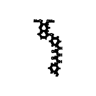 COc1cc2nccc(Oc3ccc(NC(=O)NC(=O)Nc4cccc(C)c4)cc3)c2cc1OC